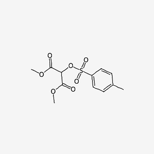 COC(=O)C(OS(=O)(=O)c1ccc(C)cc1)C(=O)OC